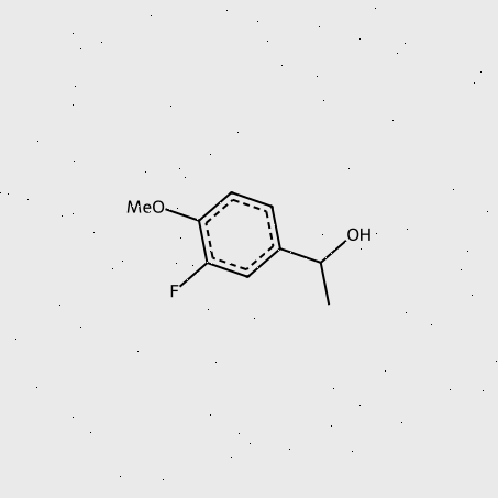 COc1ccc(C(C)O)cc1F